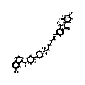 N#Cc1ccc2ncnc(N[C@H]3CC[C@H](N4CCN(S(=O)(=O)CCOCCOc5ccc6c(c5)C(=O)N(C5CCC(=O)NC5=O)C6=O)CC4)CC3)c2c1